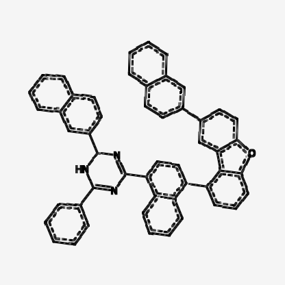 c1ccc(C2=NC(c3ccc(-c4cccc5oc6ccc(-c7ccc8ccccc8c7)cc6c45)c4ccccc34)=NC(c3ccc4ccccc4c3)N2)cc1